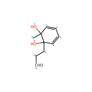 CC1(O)C=CC=CC1(O)CCC=O